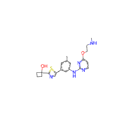 CNCCOc1ccnc(Nc2cc(C)cc(-c3cnc(C4(O)CCC4)s3)c2)n1